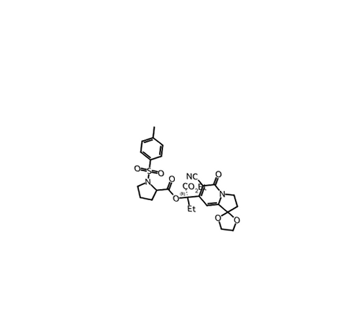 CCOC(=O)[C@](CC)(OC(=O)C1CCCN1S(=O)(=O)c1ccc(C)cc1)c1cc2n(c(=O)c1C#N)CCC21OCCO1